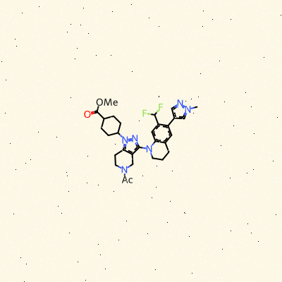 COC(=O)C1CCC(n2nc(N3CCCc4cc(-c5cnn(C)c5)c(C(F)F)cc43)c3c2CCN(C(C)=O)C3)CC1